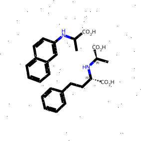 CC(Nc1ccc2ccccc2c1)C(=O)O.C[C@@H](N[C@@H](CCc1ccccc1)C(=O)O)C(=O)O